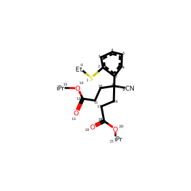 CCSc1ccccc1C(C#N)(CCC(=O)OC(C)C)CCC(=O)OC(C)C